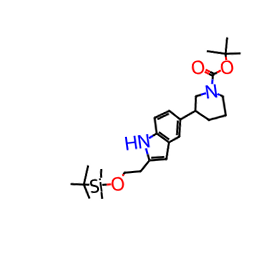 CC(C)(C)OC(=O)N1CCCC(c2ccc3[nH]c(CCO[Si](C)(C)C(C)(C)C)cc3c2)C1